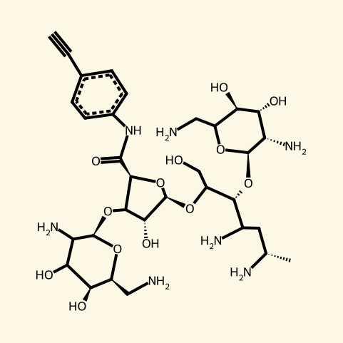 C#Cc1ccc(NC(=O)[C@H]2O[C@@H](OC(CO)[C@H](O[C@H]3OC(CN)[C@@H](O)[C@H](O)[C@@H]3N)C(N)C[C@H](C)N)[C@H](O)C2O[C@H]2O[C@@H](CN)[C@@H](O)C(O)C2N)cc1